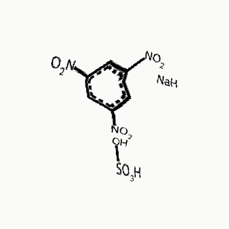 O=S(=O)(O)O.O=[N+]([O-])c1cc([N+](=O)[O-])cc([N+](=O)[O-])c1.[NaH]